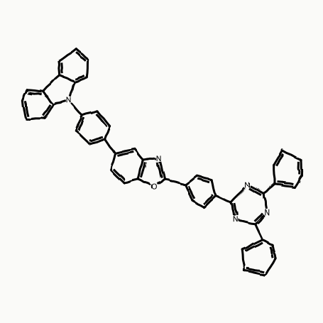 c1ccc(-c2nc(-c3ccccc3)nc(-c3ccc(-c4nc5cc(-c6ccc(-n7c8ccccc8c8ccccc87)cc6)ccc5o4)cc3)n2)cc1